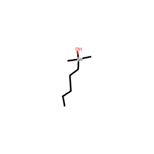 CCCC[CH2][Sn]([CH3])([CH3])[OH]